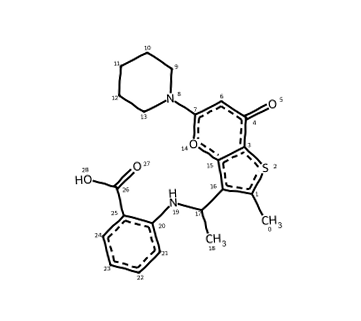 Cc1sc2c(=O)cc(N3CCCCC3)oc2c1C(C)Nc1ccccc1C(=O)O